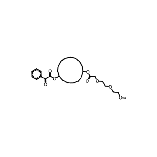 COCCOCCOCC(=O)OC1CCCCCCCCC(OC(=O)C(=O)c2ccccc2)CCCCC1